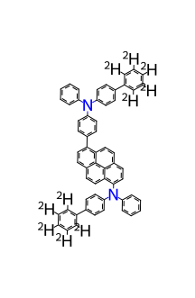 [2H]c1c([2H])c([2H])c(-c2ccc(N(c3ccccc3)c3ccc(-c4ccc5ccc6c(N(c7ccccc7)c7ccc(-c8c([2H])c([2H])c([2H])c([2H])c8[2H])cc7)ccc7ccc4c5c76)cc3)cc2)c([2H])c1[2H]